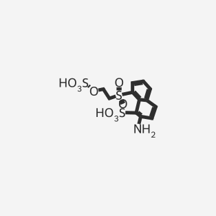 Nc1ccc2cccc(S(=O)(=O)CCOS(=O)(=O)O)c2c1S(=O)(=O)O